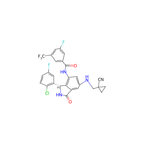 N#CC1(CNc2cc(NC(=O)c3cc(F)cc(C(F)(F)F)c3)c3c(c2)C(=O)N[C@@H]3c2cc(F)ccc2Cl)CC1